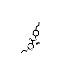 CCCC1CCC(OC(=O)[C@]2(C#N)CO[C@H](CCC)OC2)CC1